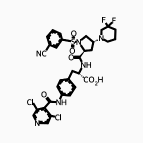 N#Cc1cccc(S(=O)(=O)N2C[C@H](N3CCCC(F)(F)C3)C[C@H]2C(=O)N[C@@H](Cc2ccc(NC(=O)c3c(Cl)cncc3Cl)cc2)C(=O)O)c1